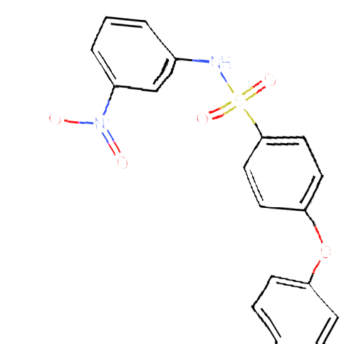 O=[N+]([O-])c1cccc(NS(=O)(=O)c2ccc(Oc3ccccc3)cc2)c1